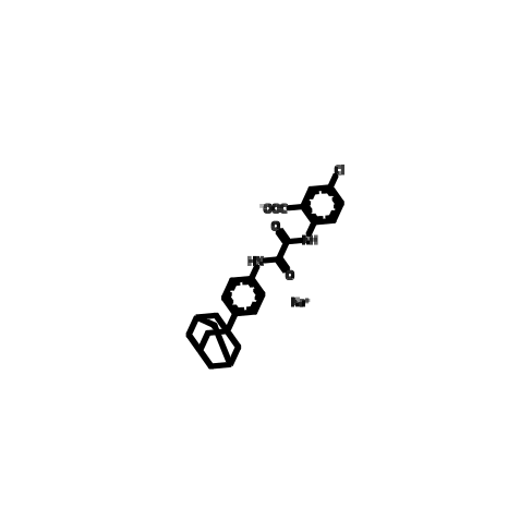 O=C(Nc1ccc(C23CC4CC(CC(C4)C2)C3)cc1)C(=O)Nc1ccc(Cl)cc1C(=O)[O-].[Na+]